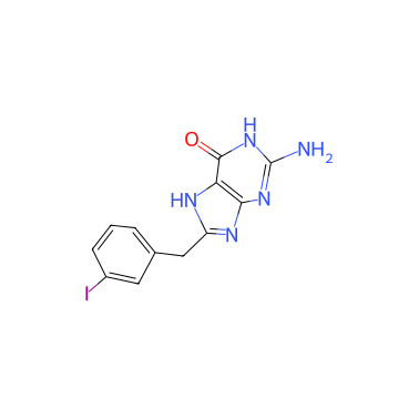 Nc1nc2nc(Cc3cccc(I)c3)[nH]c2c(=O)[nH]1